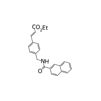 CCOC(=O)C=Cc1ccc(CNC(=O)c2ccc3ccccc3c2)cc1